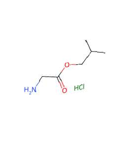 CC(C)COC(=O)CN.Cl